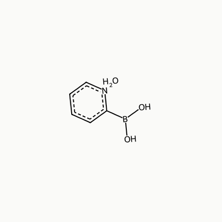 O.OB(O)c1ccccn1